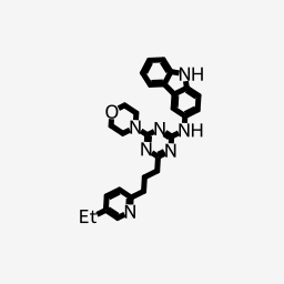 CCc1ccc(CCCc2nc(Nc3ccc4[nH]c5ccccc5c4c3)nc(N3CCOCC3)n2)nc1